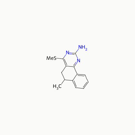 CSc1nc(N)nc2c1CC(C)c1ccccc1-2